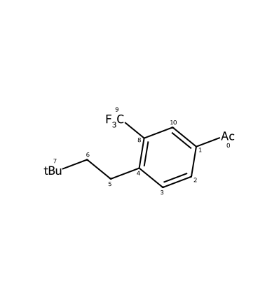 CC(=O)c1ccc(CCC(C)(C)C)c(C(F)(F)F)c1